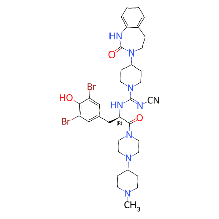 CN1CCC(N2CCN(C(=O)[C@@H](Cc3cc(Br)c(O)c(Br)c3)NC(=NC#N)N3CCC(N4CCc5ccccc5NC4=O)CC3)CC2)CC1